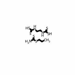 CCCSC(N)=S.S=C(S)NCCNC(=S)S